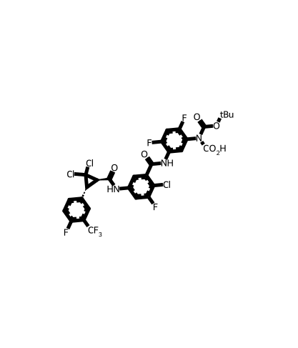 CC(C)(C)OC(=O)N(C(=O)O)c1cc(NC(=O)c2cc(NC(=O)[C@H]3[C@H](c4ccc(F)c(C(F)(F)F)c4)C3(Cl)Cl)cc(F)c2Cl)c(F)cc1F